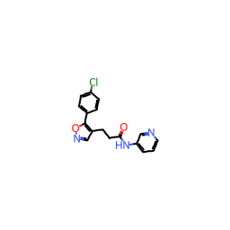 O=C(CCc1cnoc1-c1ccc(Cl)cc1)Nc1cccnc1